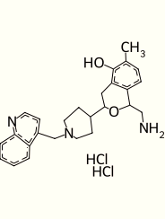 Cc1ccc2c(c1O)CC(C1CCN(Cc3ccnc4ccccc34)CC1)OC2CN.Cl.Cl